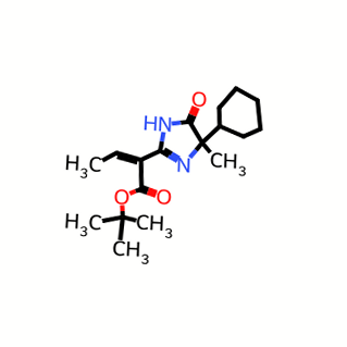 CC=C(C(=O)OC(C)(C)C)C1=NC(C)(C2CCCCC2)C(=O)N1